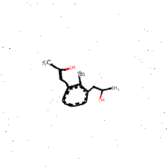 CC(O)Cc1cccc(CC(C)O)c1C(C)(C)C